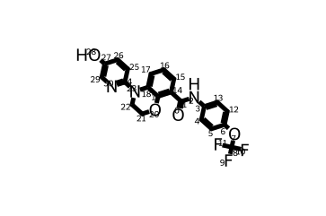 O=C(Nc1ccc(OC(F)(F)F)cc1)c1cccc2c1OCCN2c1ccc(O)cn1